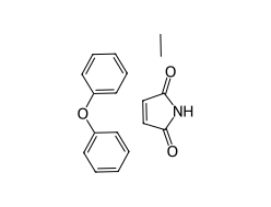 CC.O=C1C=CC(=O)N1.c1ccc(Oc2ccccc2)cc1